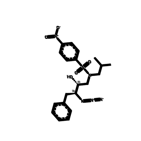 CC(C)CN(C[C@@H](O)[C@H](Cc1ccccc1)N=[N+]=[N-])S(=O)(=O)c1ccc([N+](=O)[O-])cc1